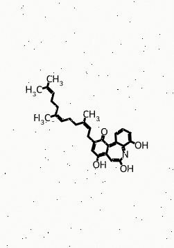 CC(C)=CCCC(C)=CCCC(C)=CCc1cc(O)c2cc(O)nc3c(O)cccc3c-2c1=O